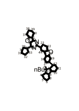 CCCCC1(C)c2ccccc2-c2cccc(-c3ccc4c(c3)oc3ccc(-c5nc(-c6ccccc6)c6oc7ccccc7c6n5)cc34)c21